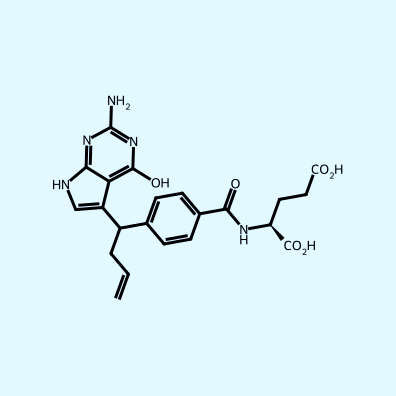 C=CCC(c1ccc(C(=O)N[C@@H](CCC(=O)O)C(=O)O)cc1)c1c[nH]c2nc(N)nc(O)c12